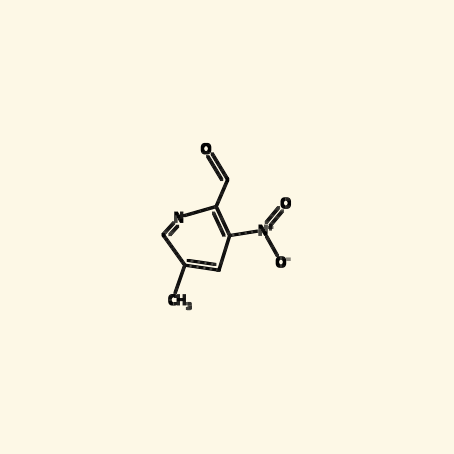 Cc1cnc(C=O)c([N+](=O)[O-])c1